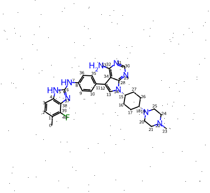 Cc1ccc2[nH]c(Nc3ccc(-c4cn([C@H]5CC[C@@H](N6CCN(C)CC6)CC5)c5ncnc(N)c45)cc3)nc2c1F